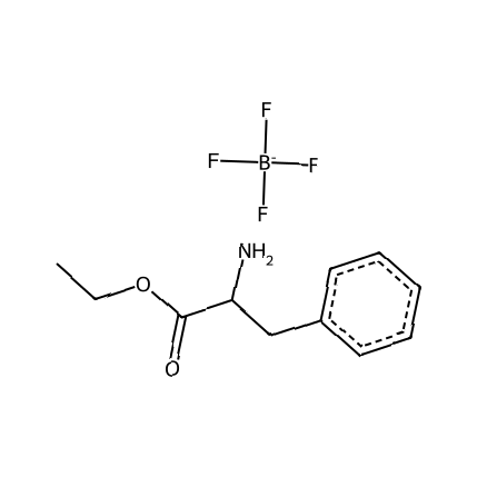 CCOC(=O)C(N)Cc1ccccc1.F[B-](F)(F)F